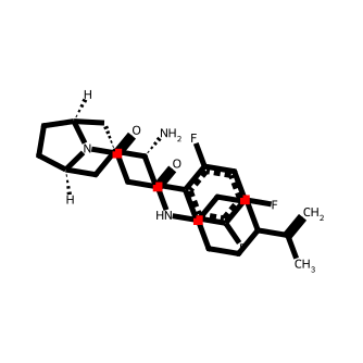 C=C(C)C1CCC(NC(=O)CC(=O)N2[C@@H]3CC[C@H]2C[C@H]([C@H](N)Cc2cc(F)c(F)cc2F)C3)CC1